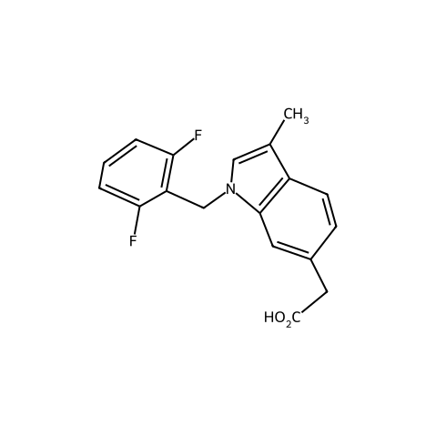 Cc1cn(Cc2c(F)cccc2F)c2cc(CC(=O)O)ccc12